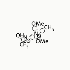 COC(=O)c1cc(Oc2ncc(CO)cc2C(F)(F)F)ccc1N(C(=O)[C@H]1CC[C@H](C)CC1)C1CCC(OC)CC1